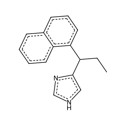 CCC(c1c[nH]cn1)c1cccc2ccccc12